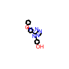 Nc1nccn2c(-c3ccc(O)cc3)nc(-c3ccc(Oc4ccccc4)cc3)c12